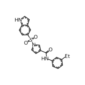 CCc1cccc(NC(=O)c2ccn(S(=O)(=O)c3ccc4[nH]ccc4c3)c2)c1